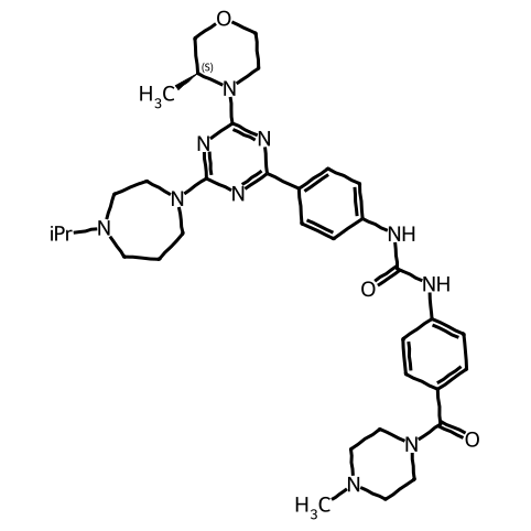 CC(C)N1CCCN(c2nc(-c3ccc(NC(=O)Nc4ccc(C(=O)N5CCN(C)CC5)cc4)cc3)nc(N3CCOC[C@@H]3C)n2)CC1